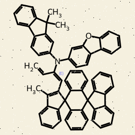 C=C/C(=C\C1=C(C)c2ccccc2C12c1ccccc1C1(c3ccccc3-c3ccccc31)c1ccccc12)N(c1ccc2c(c1)C(C)(C)c1ccccc1-2)c1ccc2c(c1)oc1ccccc12